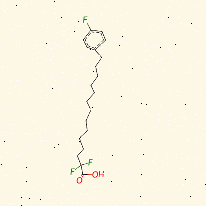 O=C(O)C(F)(F)CCCCCCCCCCCCc1ccc(F)cc1